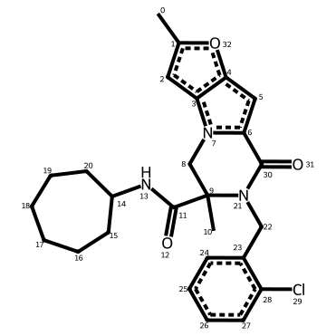 Cc1cc2c(cc3n2CC(C)(C(=O)NC2CCCCCC2)N(Cc2ccccc2Cl)C3=O)o1